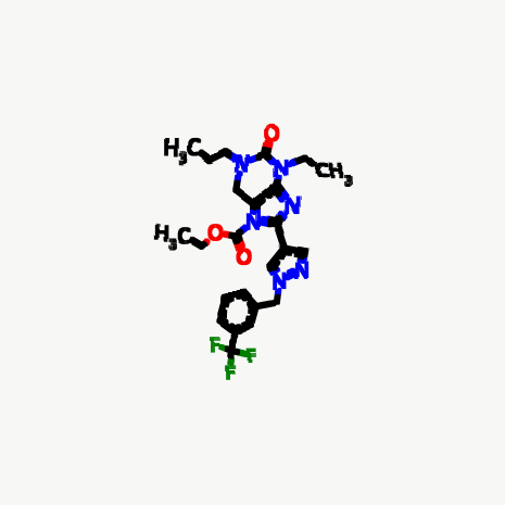 CCCN1Cc2c(nc(-c3cnn(Cc4cccc(C(F)(F)F)c4)c3)n2C(=O)OCC)N(CC)C1=O